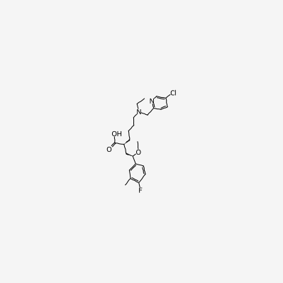 CCN(CCCC[C@@H](C[C@@H](OC)c1ccc(F)c(C)c1)C(=O)O)Cc1ccc(Cl)cn1